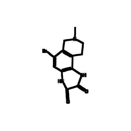 CN1CCc2c(c(Br)cc3[nH]c(=O)c(=O)[nH]c23)C1